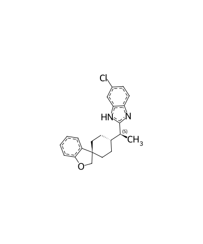 C[C@H](c1nc2ccc(Cl)cc2[nH]1)[C@H]1CC[C@@]2(CC1)COc1ccccc12